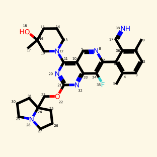 Cc1ccc(C)c(-c2ncc3c(N4CCCC(C)(O)C4)nc(OCC45CCCN4CCC5)nc3c2F)c1C=N